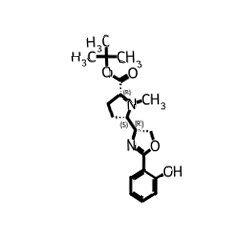 CN1[C@@H](C(=O)OC(C)(C)C)CC[C@H]1[C@@H]1COC(c2ccccc2O)=N1